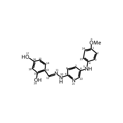 COc1ccc(Nc2ccc(NN=Cc3ccc(O)cc3O)nc2)cc1